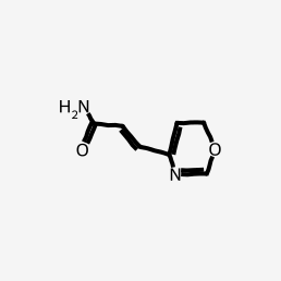 NC(=O)C=CC1=CCOC=N1